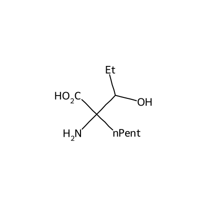 CCCCCC(N)(C(=O)O)C(O)CC